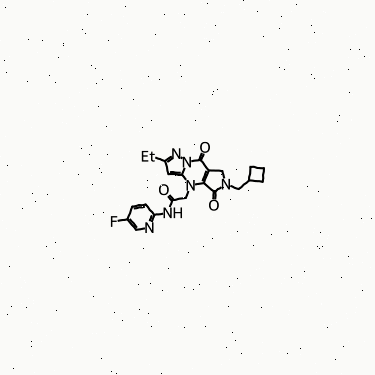 CCc1cc2n(CC(=O)Nc3ccc(F)cn3)c3c(c(=O)n2n1)CN(CC1CCC1)C3=O